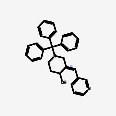 OC1CCN(C(c2ccccc2)(c2ccccc2)c2ccccc2)C/C1=C/c1cccnc1